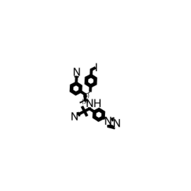 C[C@H](NC(c1ccc(-n2ccnc2)cc1)C(C)(C)C#N)[C@@H](Cc1ccc(CI)cc1)c1cccc(C#N)c1